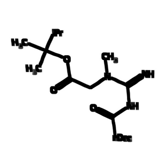 CCCCCCCCCCC(=O)NC(=N)N(C)CC(=O)OC(C)(C)C(C)C